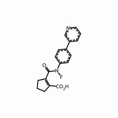 O=C(O)C1=C(C(=O)N(F)c2ccc(-c3cccnc3)cc2)CCC1